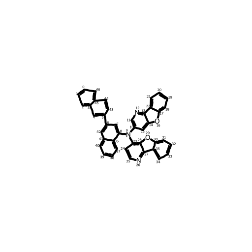 c1ccc2cc(-c3cc(N(c4cnc5c(c4)oc4ccccc45)c4ccnc5c4oc4ccccc45)c4ccccc4c3)ccc2c1